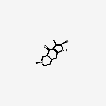 Cc1c(C(C)C)[nH]c2c1C(=O)C1CN(C)CCC1C2